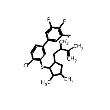 C=C(C)C(C)CC1CC(C)C(C)C1Sc1cc(-c2cc(F)c(F)c(F)c2)ccc1Cl